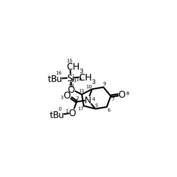 CC(C)(C)OC(=O)N1C2CC(=O)CC1C(O[Si](C)(C)C(C)(C)C)C2